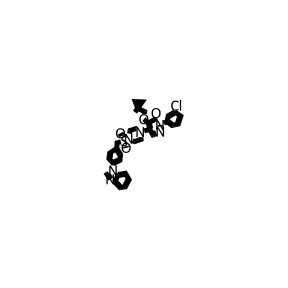 CC1(COc2c(N3CCN(S(=O)(=O)Cc4ccc(-n5cnc6ccccc65)cc4)CC3)cnn(-c3cccc(Cl)c3)c2=O)CC1